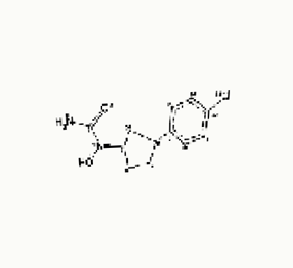 NC(=O)N(O)[C@@H]1CC[C@@H](c2ccc(Cl)cc2)C1